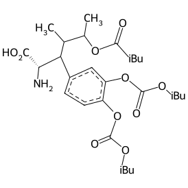 CCC(C)OC(=O)Oc1ccc(C(C(C)C(C)OC(=O)C(C)CC)[C@H](N)C(=O)O)cc1OC(=O)OC(C)CC